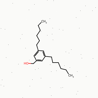 CCCCCCc1cc(CO)cc(CCCCCC)c1